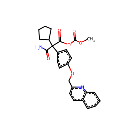 COC(=O)OC(=O)C(C(N)=O)(c1ccc(OCc2ccc3ccccc3n2)cc1)C1CCCC1